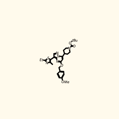 CCc1nc(C)c(-c2cnn3c(C4CCN(C(=O)OC(C)(C)C)CC4)cc(OCc4ccc(OC)cc4)nc23)s1